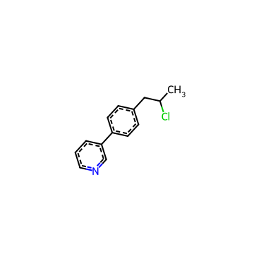 CC(Cl)Cc1ccc(-c2cccnc2)cc1